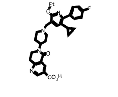 CCOc1nc(-c2ccc(F)cc2)c(C2CC2)cc1CN1CCC(N2CCc3ncc(C(=O)O)cc3C2=O)CC1